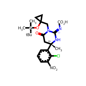 CC(C)(C)[Si](C)(C)OC1(CN2C(=O)C[C@@](C)(c3cccc([N+](=O)[O-])c3Cl)N/C2=N/C(=O)O)CC1